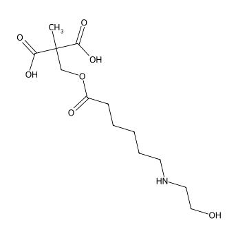 CC(COC(=O)CCCCCNCCO)(C(=O)O)C(=O)O